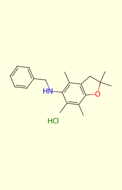 Cc1c(C)c2c(c(C)c1NCc1ccccc1)CC(C)(C)O2.Cl